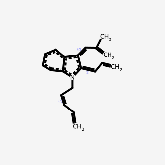 C=C/C=C\Cn1c(=C/C=C)/c(=C\C(=C)C)c2ccccc21